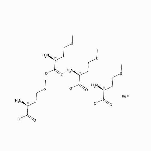 CSCC[C@H](N)C(=O)[O-].CSCC[C@H](N)C(=O)[O-].CSCC[C@H](N)C(=O)[O-].CSCC[C@H](N)C(=O)[O-].[Ru+4]